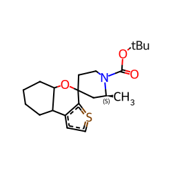 C[C@H]1CC2(CCN1C(=O)OC(C)(C)C)OC1CCCCC1c1ccsc12